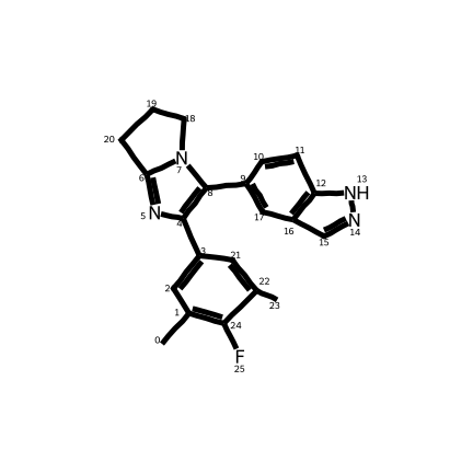 Cc1cc(-c2nc3n(c2-c2ccc4[nH]ncc4c2)CCC3)cc(C)c1F